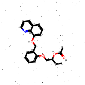 CCC(COc1ccccc1COc1cccc2cccnc12)OC(C)=O